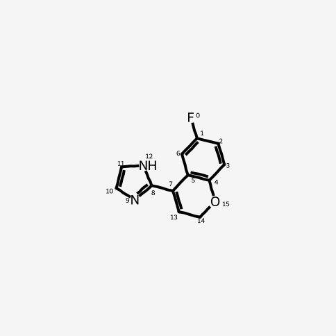 Fc1ccc2c(c1)C(c1ncc[nH]1)=CCO2